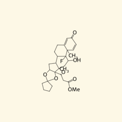 COC(=O)CC(=O)C12OC3(CCCC3)OC1CC1C3CCC4=CC(=O)C=CC4(C)C3(F)C(O)CC12C